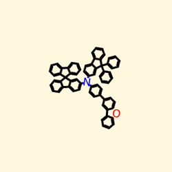 c1ccc(C2(c3ccccc3)c3ccccc3-c3ccc(N(c4ccc(-c5ccc6oc7ccccc7c6c5)cc4)c4ccc5c(c4)C4(c6ccccc6-c6ccccc64)c4ccccc4-5)cc32)cc1